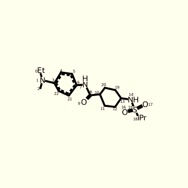 CCN(C)c1ccc(NC(=O)C2CCC(NS(=O)(=O)C(C)C)CC2)cc1